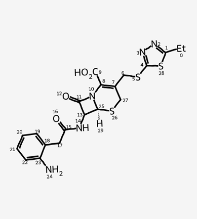 CCc1nnc(SCC2=C(C(=O)O)N3C(=O)C(NC(=O)Cc4ccccc4N)[C@@H]3SC2)s1